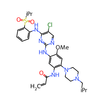 C=CC(=O)Nc1cc(Nc2ncc(Cl)c(Nc3ccccc3S(=O)(=O)C(C)C)n2)c(OC)cc1N1CCN(CC(C)C)CC1